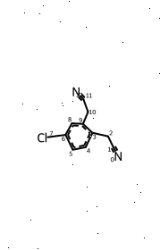 N#CCc1ccc(Cl)cc1CC#N